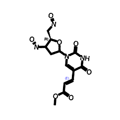 COC(=O)/C=C/c1cn(C2CC(N=O)[C@@H](CN=O)O2)c(=O)[nH]c1=O